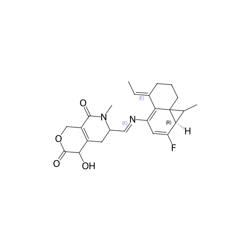 C/C=C1\CCCC23C1=C(/N=C/C1CC4=C(COC(=O)C4O)C(=O)N1C)C=C(F)[C@@H]2C3C